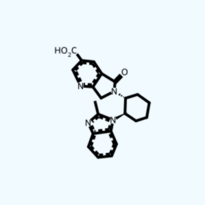 Cc1nc2ccccc2n1[C@@H]1CCCC[C@H]1N1Cc2ncc(C(=O)O)cc2C1=O